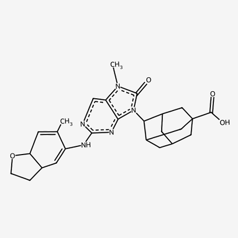 CC1=CC2OCCC2C=C1Nc1ncc2c(n1)n(C1C3CC4CC1CC(C(=O)O)(C4)C3)c(=O)n2C